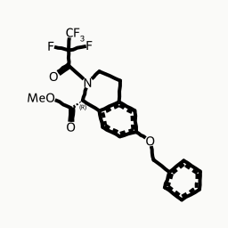 COC(=O)[C@H]1c2ccc(OCc3ccccc3)cc2CCN1C(=O)C(F)(F)C(F)(F)F